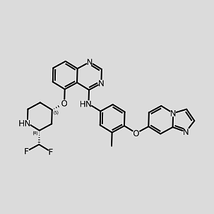 Cc1cc(Nc2ncnc3cccc(O[C@H]4CCN[C@@H](C(F)F)C4)c23)ccc1Oc1ccn2ccnc2c1